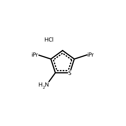 CC(C)c1cc(C(C)C)c(N)s1.Cl